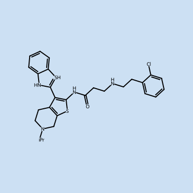 CC(C)N1CCc2c(sc(NC(=O)CCNCCc3ccccc3Cl)c2C2=[SH]c3ccccc3N2)C1